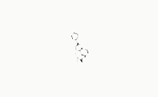 O=c1cc(-c2ccccc2)oc2ccc3ocnc3c12